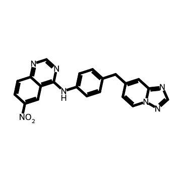 O=[N+]([O-])c1ccc2ncnc(Nc3ccc(Cc4ccn5ncnc5c4)cc3)c2c1